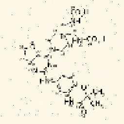 CC1(C)Oc2ccc(Nc3nc(N4CCC(CNC(=O)O)(CNC(=O)O)CC4)c4occc4n3)cc2NC1=O